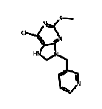 CSc1nc(Cl)c2c(n1)N(Cc1cccnc1)CN2